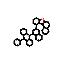 c1ccc(-c2c3ccccc3c(-c3cc(-c4cccc5oc6ccc7ccccc7c6c45)cc4ccccc34)c3ccccc23)cc1